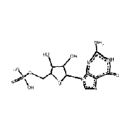 Nc1nc2c(ncn2C2OC(COP(O)(O)=S)C(O)C2O)c(=O)[nH]1